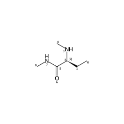 CC[C@H](NC)C(=O)NC